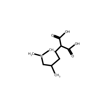 CC(CCC(C(=O)O)C(=O)O)CN(C)C